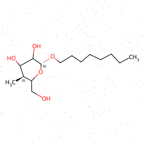 CCCCCCCCO[C@@H]1OC(CO)[C@@H](C)C(O)C1O